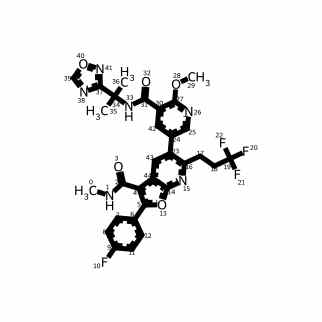 CNC(=O)c1c(-c2ccc(F)cc2)oc2nc(CCC(F)(F)F)c(-c3cnc(OC)c(C(=O)NC(C)(C)c4ncon4)c3)cc12